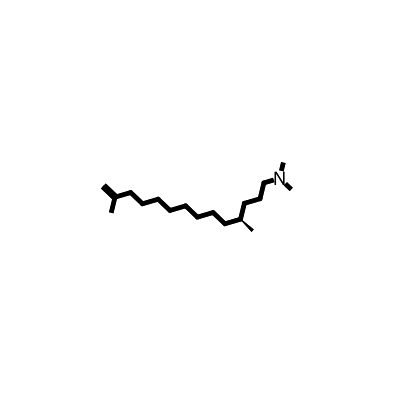 C=C(C)CCCCCCCC[C@H](C)CCCN(C)C